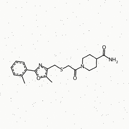 Cc1ccccc1-c1nc(CSCC(=O)N2CCC(C(N)=O)CC2)c(C)o1